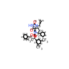 C[C@@H](OC[C@@]1(c2ccccc2)CCC2(CN1C(=O)OCc1ccccc1)C(=O)NC(=O)N2CC1CC1)c1cc(C(F)(F)F)cc(C(F)(F)F)c1